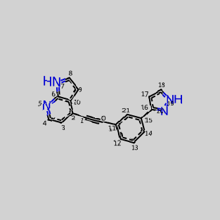 C(#Cc1ccnc2[nH]ccc12)c1cccc(-c2cc[nH]n2)c1